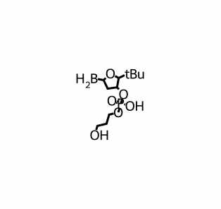 BC1CC(OP(=O)(O)OCCCO)C(C(C)(C)C)O1